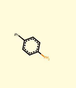 CC(C)c1ccc(P)cc1